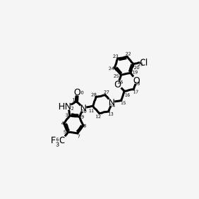 O=c1[nH]c2cc(C(F)(F)F)ccc2n1C1CCN(CC2COc3c(Cl)cccc3O2)CC1